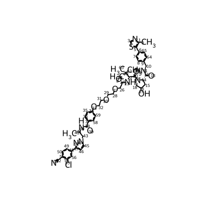 Cc1ncsc1-c1ccc(CNC(=O)[C@@H]2C[C@@H](O)CN2C(=O)[C@@H](NC(=O)COCCOCCOc2ccc(C(=O)N[C@@H](C)Cn3ccc(-c4ccc(C#N)c(Cl)c4)n3)cc2)C(C)(C)C)cc1